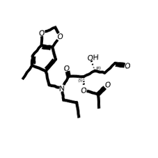 CCCN(Cc1cc2c(cc1C)OCO2)C(=O)[C@@H](OC(C)=O)[C@H](O)CC=O